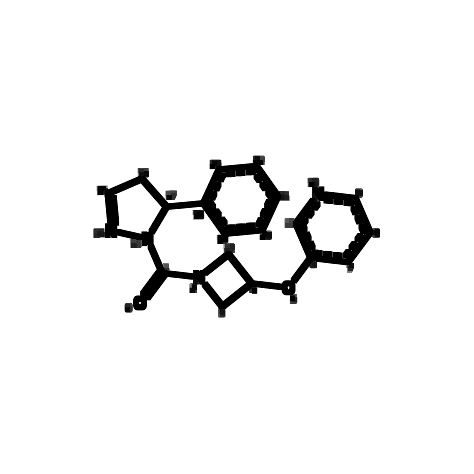 O=C(N1CC(Oc2cccnc2)C1)N1N=CCC1c1ccccc1